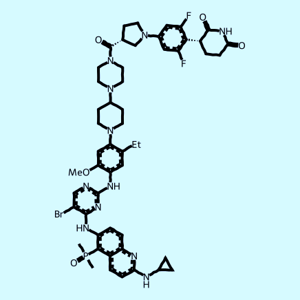 CCc1cc(Nc2ncc(Br)c(Nc3ccc4nc(NC5CC5)ccc4c3P(C)(C)=O)n2)c(OC)cc1N1CCC(N2CCN(C(=O)[C@@H]3CCN(c4cc(F)c([C@H]5CCC(=O)NC5=O)c(F)c4)C3)CC2)CC1